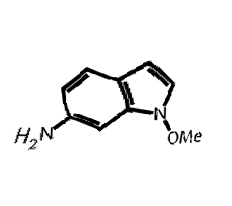 COn1ccc2ccc(N)cc21